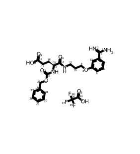 N=C(N)c1cccc(OCCCNC(=O)[C@H](CCC(=O)O)NC(=O)OCc2ccccc2)c1.O=C(O)C(F)(F)F